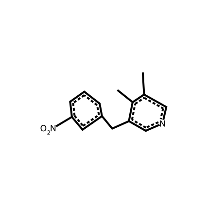 Cc1cncc(Cc2cccc([N+](=O)[O-])c2)c1C